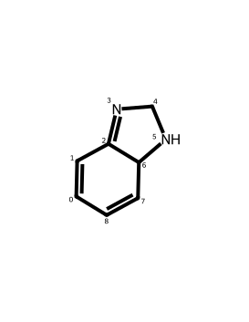 C1=CC2=NCNC2C=C1